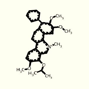 COc1cc2c(ccc3c4ccc(OC)c(OC(C)C)c4c[n+](C)c23)c(-c2ccccc2)c1OC